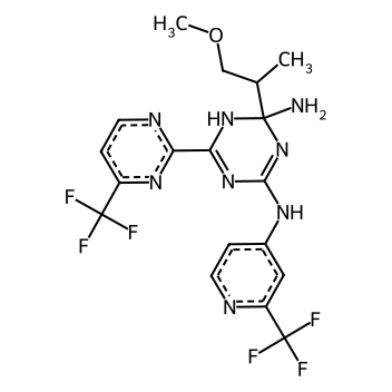 COCC(C)C1(N)N=C(Nc2ccnc(C(F)(F)F)c2)N=C(c2nccc(C(F)(F)F)n2)N1